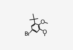 COc1cc(Br)cc(C(C)(C)C)c1OC